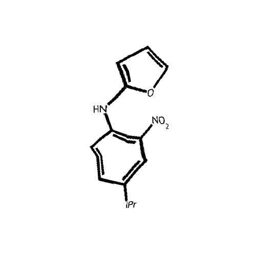 CC(C)c1ccc(Nc2ccco2)c([N+](=O)[O-])c1